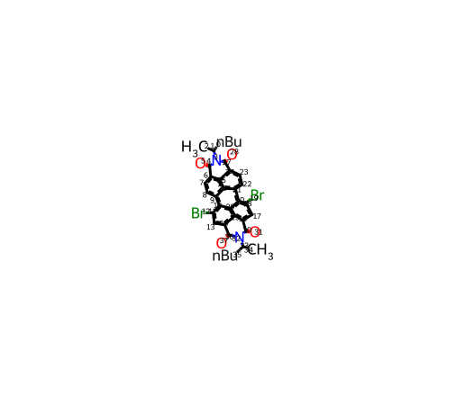 CCCCC(C)N1C(=O)c2ccc3c4c(Br)cc5c6c(cc(Br)c(c7ccc(c2c37)C1=O)c64)C(=O)N(C(C)CCCC)C5=O